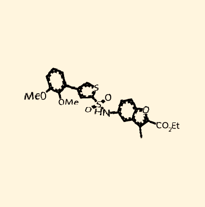 CCOC(=O)c1oc2ccc(NS(=O)(=O)c3cc(-c4cccc(OC)c4OC)cs3)cc2c1C